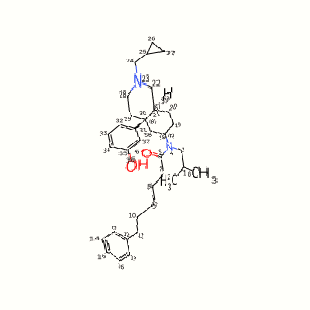 CC(C)CN(C(=O)CCCCCc1ccccc1)[C@@H]1CC[C@@H]2CN(CC3CC3)CC[C@@]2(c2cccc(O)c2)C1